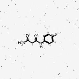 NC(=O)CC(=O)Nc1ccc(F)cc1